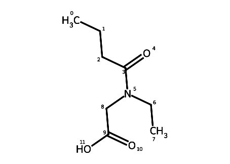 CCCC(=O)N(CC)CC(=O)O